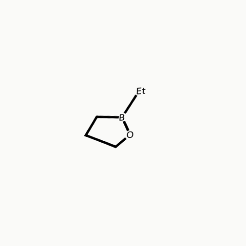 CCB1CCCO1